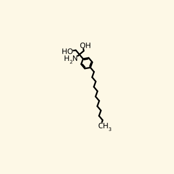 CCCCCCCCCCCCc1ccc(C(N)(CO)CO)cc1